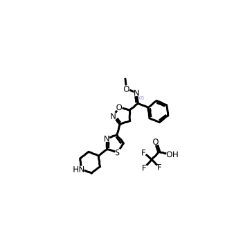 CO/N=C(/c1ccccc1)C1CC(c2csc(C3CCNCC3)n2)=NO1.O=C(O)C(F)(F)F